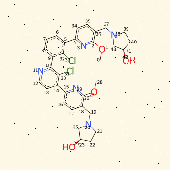 COc1nc(-c2cccc(-c3nccc(-c4ccc(CN5CC[C@@H](O)C5)c(OC)n4)c3Cl)c2Cl)ccc1CN1CC[C@@H](O)C1